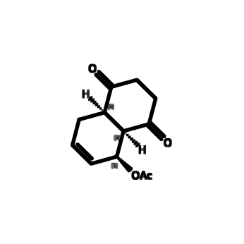 CC(=O)O[C@H]1C=CC[C@H]2C(=O)CCC(=O)[C@@H]12